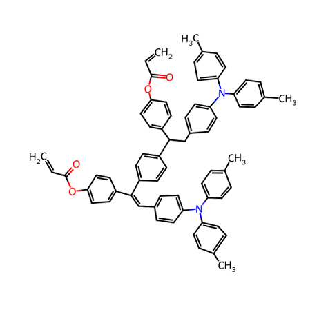 C=CC(=O)Oc1ccc(C(=Cc2ccc(N(c3ccc(C)cc3)c3ccc(C)cc3)cc2)c2ccc(C(Cc3ccc(N(c4ccc(C)cc4)c4ccc(C)cc4)cc3)c3ccc(OC(=O)C=C)cc3)cc2)cc1